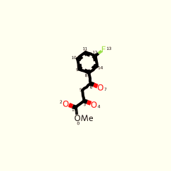 COC(=O)C(=O)CC(=O)c1cccc(F)c1